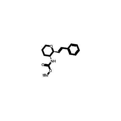 CC(C)(C)OC(=O)N[C@@H]1CCCO[C@H]1C=Cc1ccccc1